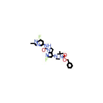 Cc1cn2cc(NC(=O)N3CCc4c(N5CCN(C(=O)OCc6ccccc6)C(C)(C)C5)cc(F)nc43)cc(F)c2n1